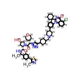 Cc1ncsc1-c1ccc([C@H](C)NC(=O)[C@@H]2C[C@@H](O)CN2C(=O)[C@H](C2CCOCC2)n2cc(C3CCC(CN4CCC(c5ccc6c(c5)-n5c(nc(=O)c7c(Cl)cccc75)C65CCCCC5)CC4)CC3)nn2)cc1